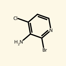 Nc1c(Cl)ccnc1Br